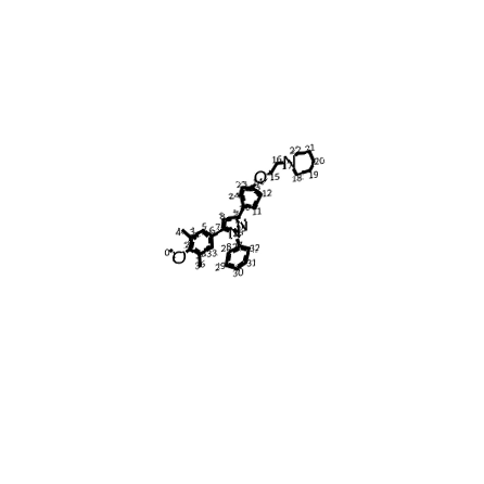 COc1c(C)cc(-c2cc(-c3ccc(OCCN4CCCCC4)cc3)nn2-c2ccccc2)cc1C